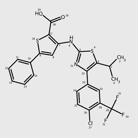 CC(C)c1sc(Nc2cc(-c3ccccc3)sc2C(=O)O)nc1-c1ccc(Cl)c(C(F)(F)F)c1